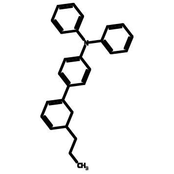 CCCC1C=CC=C(c2ccc(N(c3ccccc3)c3ccccc3)cc2)C1